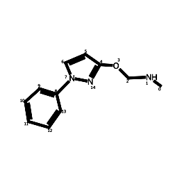 CNCOc1ccn(-c2ccccc2)n1